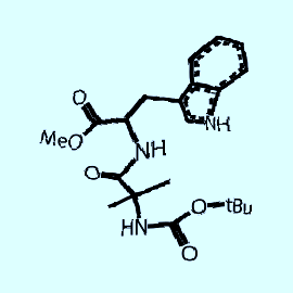 COC(=O)C(Cc1c[nH]c2ccccc12)NC(=O)C(C)(C)NC(=O)OC(C)(C)C